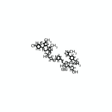 Cc1ncsc1-c1ccc([C@H](C)NC(=O)[C@@H]2C[C@@H](O)CN2C(=O)[C@@H](NC(=O)CCc2ccnc(O[C@H]3C[C@H](NC(=O)C[C@@H]4N=C(c5ccc(Cl)cc5)c5c(sc(C)c5C)-n5c(C)nnc54)C3)c2)C(C)(C)C)cc1